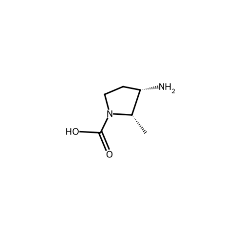 C[C@H]1[C@@H](N)CCN1C(=O)O